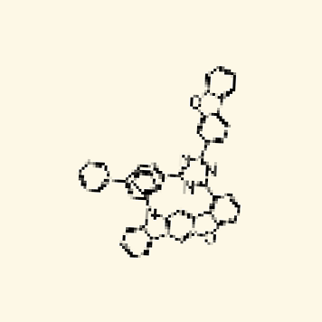 c1ccc(-c2cccc(-n3c4ccccc4c4cc5oc6cccc(-c7nc(-c8ccccc8)nc(-c8ccc9c(c8)oc8ccccc89)n7)c6c5cc43)c2)cc1